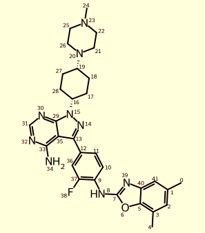 Cc1cc(C)c2oc(Nc3ccc(-c4nn([C@H]5CC[C@@H](N6CCN(C)CC6)CC5)c5ncnc(N)c45)cc3F)nc2c1